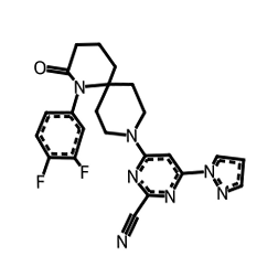 N#Cc1nc(N2CCC3(CCCC(=O)N3c3ccc(F)c(F)c3)CC2)cc(-n2cccn2)n1